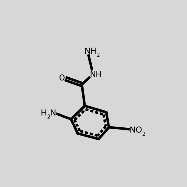 NNC(=O)c1cc([N+](=O)[O-])ccc1N